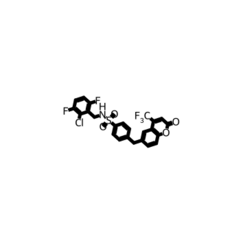 O=c1cc(C(F)(F)F)c2cc(Cc3ccc(S(=O)(=O)NCc4c(F)ccc(F)c4Cl)cc3)ccc2o1